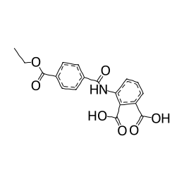 CCOC(=O)c1ccc(C(=O)Nc2cccc(C(=O)O)c2C(=O)O)cc1